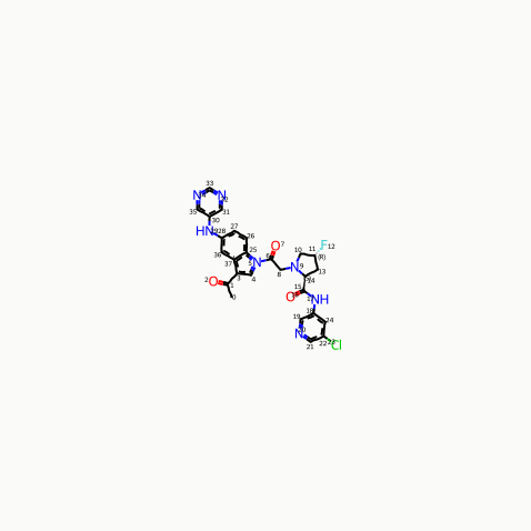 CC(=O)c1cn(C(=O)CN2C[C@H](F)C[C@H]2C(=O)Nc2cncc(Cl)c2)c2ccc(Nc3cncnc3)cc12